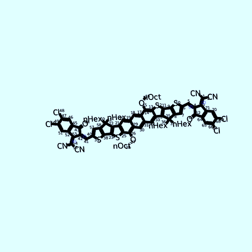 [C-]#[N+]/C(C#N)=C1\C(=C\c2cc3c(s2)-c2sc4c(OCCCCCCCC)c5cc6cc7c8c(sc7c(OCCCCCCCC)c6cc5cc4c2C3(CCCCCC)CCCCCC)-c2sc(/C=C3\C(=O)c4cc(Cl)c(Cl)cc4\C3=C(\C#N)[N+]#[C-])cc2C8(CCCCCC)CCCCCC)C(=O)c2cc(Cl)c(Cl)cc21